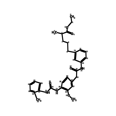 CCOC(=O)C(C)CCCc1cccc(NC(=O)Cc2ccc(NC(=O)Nc3ccccc3C)c(OC)c2)c1